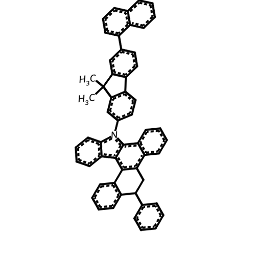 CC1(C)c2cc(-c3cccc4ccccc34)ccc2-c2ccc(-n3c4ccccc4c4c5c(c6ccccc6c43)CC(c3ccccc3)c3ccccc3-5)cc21